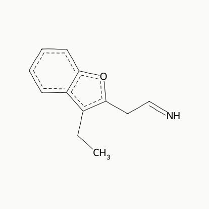 CCc1c(CC=N)oc2ccccc12